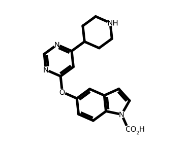 O=C(O)n1ccc2cc(Oc3cc(C4CCNCC4)ncn3)ccc21